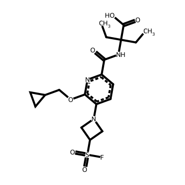 CCC(CC)(NC(=O)c1ccc(N2CC(S(=O)(=O)F)C2)c(OCC2CC2)n1)C(=O)O